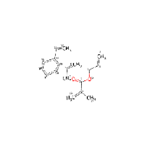 C=CC#N.C=CCOC(=O)C(=C)C.C=Cc1ccccc1